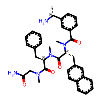 C[C@@H](N)c1cccc(C(=O)N(C)[C@H](Cc2ccc3ccccc3c2)C(=O)N(C)[C@H](Cc2ccccc2)C(=O)N(C)CC(N)=O)c1